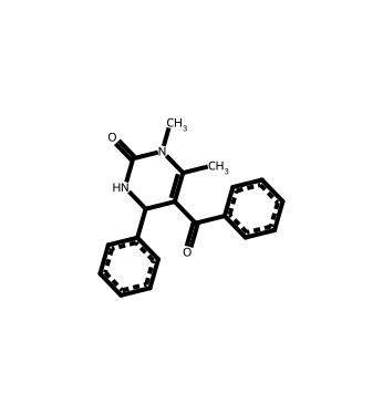 CC1=C(C(=O)c2ccccc2)C(c2ccccc2)NC(=O)N1C